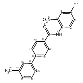 O=C(Nc1ccc(F)cc1[N+](=O)[O-])c1ccc(-c2cc(C(F)(F)F)ccn2)cc1